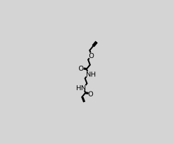 C#CCOCCC(=O)NCCNC(=O)C=C